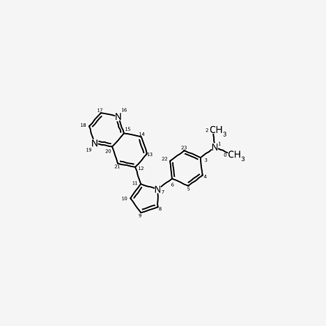 CN(C)c1ccc(-n2cccc2-c2ccc3nccnc3c2)cc1